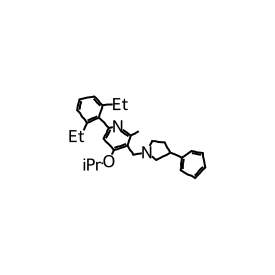 CCc1cccc(CC)c1-c1cc(OC(C)C)c(CN2CCC(c3ccccc3)C2)c(C)n1